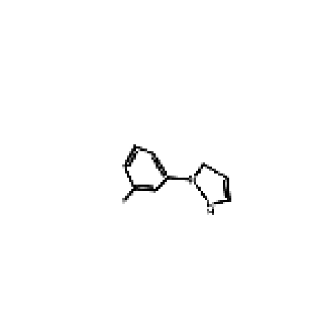 Ic1cccc(N2CC=CN2)c1